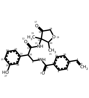 C=Cc1ccc(C(=O)NCC(C(=O)NC2(C)C(=O)COC2C)c2cccc(O)c2)cc1